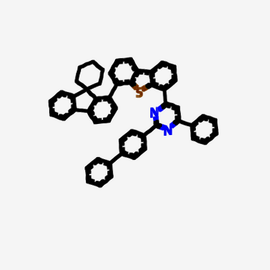 c1ccc(-c2ccc(-c3nc(-c4ccccc4)cc(-c4cccc5c4sc4c(-c6cccc7c6C6(CCCCC6)c6ccccc6-7)cccc45)n3)cc2)cc1